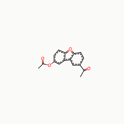 CC(=O)Oc1ccc2oc3ccc(C(C)=O)cc3c2c1